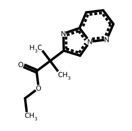 CCOC(=O)C(C)(C)c1cn2ncccc2n1